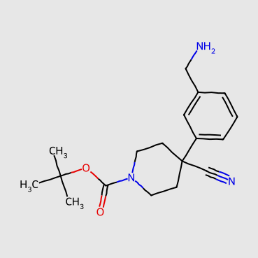 CC(C)(C)OC(=O)N1CCC(C#N)(c2cccc(CN)c2)CC1